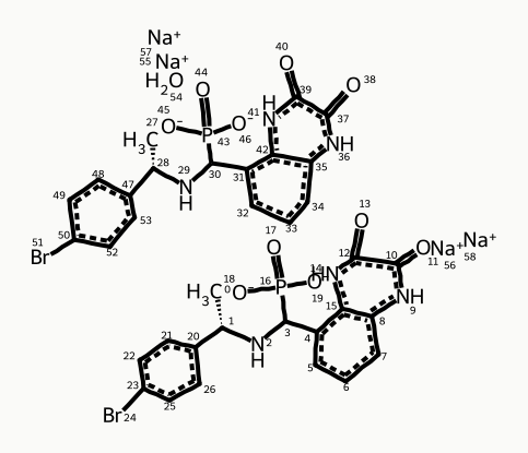 C[C@H](NC(c1cccc2[nH]c(=O)c(=O)[nH]c12)P(=O)([O-])[O-])c1ccc(Br)cc1.C[C@H](NC(c1cccc2[nH]c(=O)c(=O)[nH]c12)P(=O)([O-])[O-])c1ccc(Br)cc1.O.[Na+].[Na+].[Na+].[Na+]